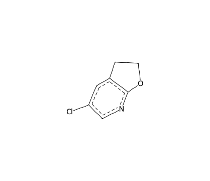 Clc1cnc2c(c1)CCO2